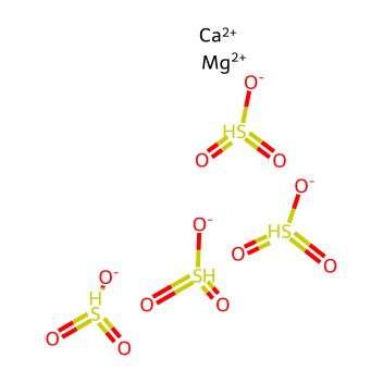 O=[SH](=O)[O-].O=[SH](=O)[O-].O=[SH](=O)[O-].O=[SH](=O)[O-].[Ca+2].[Mg+2]